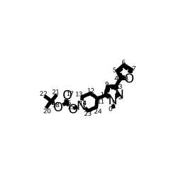 Cn1nc(-c2ccco2)cc1C1CCN(OC(=O)OC(C)(C)C)CC1